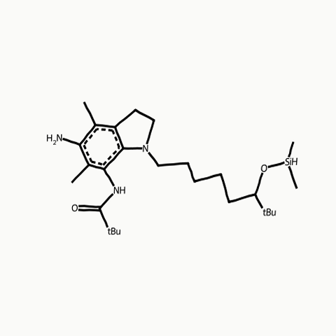 Cc1c(N)c(C)c(NC(=O)C(C)(C)C)c2c1CCN2CCCCCC(O[SiH](C)C)C(C)(C)C